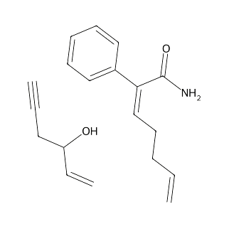 C#CCC(O)C=C.C=CCCC=C(C(N)=O)c1ccccc1